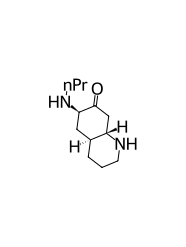 CCCN[C@@H]1C[C@@H]2CCCN[C@H]2CC1=O